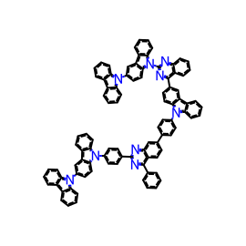 c1ccc(-c2nc(-c3ccc(-n4c5ccccc5c5cc(-n6c7ccccc7c7ccccc76)ccc54)cc3)nc3cc(-c4ccc(-n5c6ccccc6c6cc(-c7nc(-n8c9ccccc9c9cc(-n%10c%11ccccc%11c%11ccccc%11%10)ccc98)nc8ccccc78)ccc65)cc4)ccc23)cc1